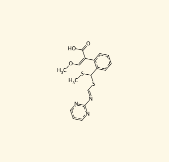 COC=C(C(=O)O)c1ccccc1C(SC)SC=Nc1ncccn1